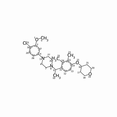 COc1cc(N2CCN(C(C)c3ccc(OC4CCOCC4)c(C)c3C)CC2)ccc1Cl